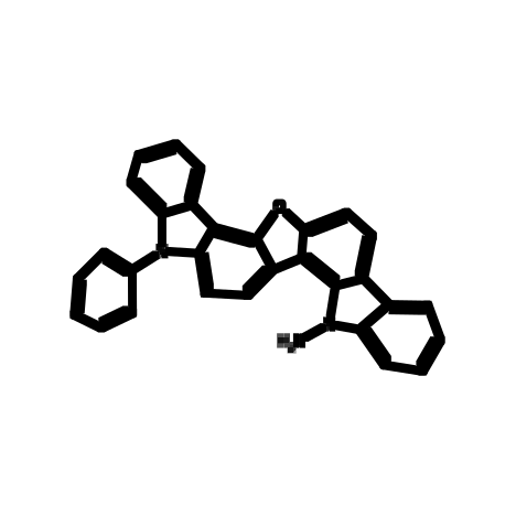 Nn1c2ccccc2c2ccc3oc4c(ccc5c4c4ccccc4n5-c4ccccc4)c3c21